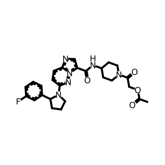 CC(=O)OCC(=O)N1CCC(NC(=O)c2cnc3ccc(N4CCCC4c4cccc(F)c4)nn23)CC1